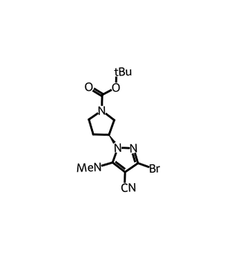 CNc1c(C#N)c(Br)nn1[C@H]1CCN(C(=O)OC(C)(C)C)C1